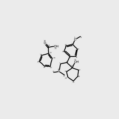 COc1ccc(C(CN(C)C)C2(O)CCCCC2)cc1.O=C(O)c1ccccc1